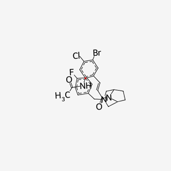 CC(=O)Nc1cc(Cl)c(Br)cc1/C=C/C(=O)N1C2CCC1CN(Cc1ccc(F)cc1)C2